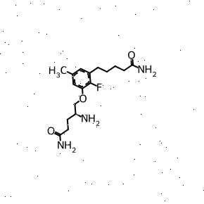 Cc1cc(CCCCC(N)=O)c(F)c(OC[C@@H](N)CCC(N)=O)c1